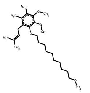 COCCCCCCCCCCOc1c(CC=C(C)C)c(C)c(C)c(OC)c1OC